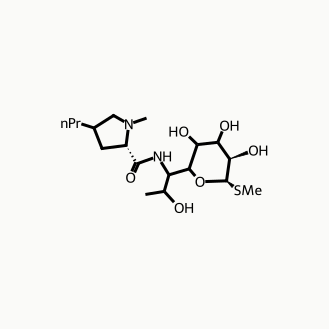 CCCC1C[C@@H](C(=O)NC(C(C)O)C2O[C@H](SC)[C@H](O)C(O)C2O)N(C)C1